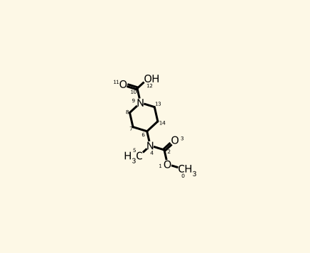 COC(=O)N(C)C1CCN(C(=O)O)CC1